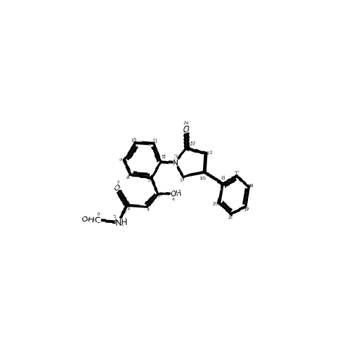 O=CNC(=O)/C=C(/O)c1ccccc1N1CC(c2ccccc2)CC1=O